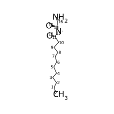 CCCCCCCCCCCC(=O)[N]C(=O)CN